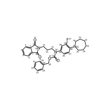 O=C1c2ccccc2C(=O)N1CCCN(C(=O)OCc1ccccc1)c1ccc(N2CCCCCC2)c(F)c1